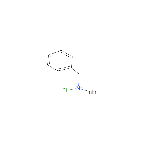 CCC[N+](Cl)Cc1ccccc1